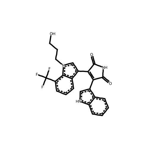 O=C1NC(=O)C(c2cn(CCCO)c3c(C(F)(F)F)cccc23)=C1c1c[nH]c2ccccc12